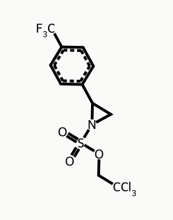 O=S(=O)(OCC(Cl)(Cl)Cl)N1CC1c1ccc(C(F)(F)F)cc1